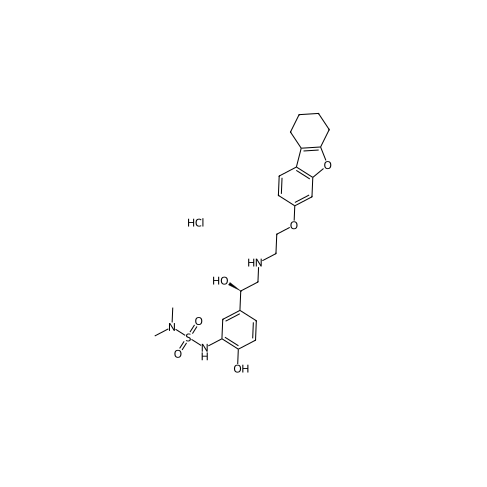 CN(C)S(=O)(=O)Nc1cc([C@@H](O)CNCCOc2ccc3c4c(oc3c2)CCCC4)ccc1O.Cl